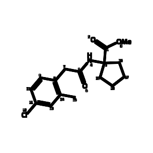 COC(=O)C1(NC(=O)Cc2ccc(Cl)cc2C)CCCC1